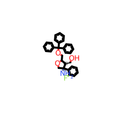 N[C@@]1(c2ccccc2F)COC(COC(c2ccccc2)(c2ccccc2)c2ccccc2)[C@H]1CO